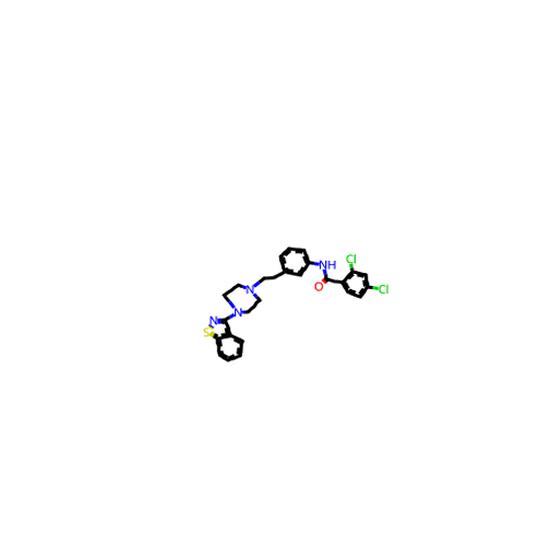 O=C(Nc1cccc(CCN2CCN(c3nsc4ccccc34)CC2)c1)c1ccc(Cl)cc1Cl